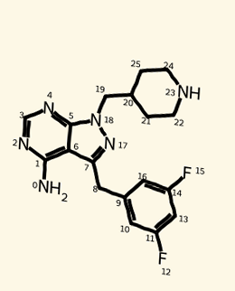 Nc1ncnc2c1c(Cc1cc(F)cc(F)c1)nn2CC1CCNCC1